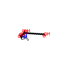 CC[C@H](NC(=O)CC[C@H](NC(=O)CCCCCCCCCCCCCCCCCCC(=O)O)C(=O)O)C(=O)O